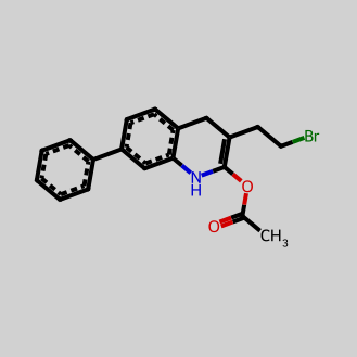 CC(=O)OC1=C(CCBr)Cc2ccc(-c3ccccc3)cc2N1